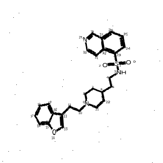 O=S(=O)(NCCC1CCN(CCc2coc3ccccc23)CC1)c1cccc2cnccc12